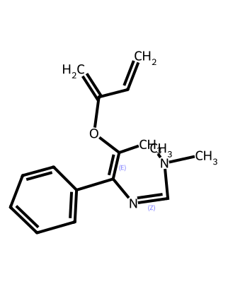 C=CC(=C)O/C(C)=C(/N=C\N(C)C)c1ccccc1